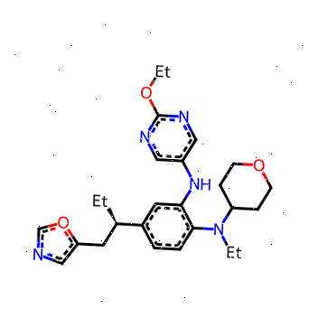 CCOc1ncc(Nc2cc([C@H](CC)Cc3cnco3)ccc2N(CC)C2CCOCC2)cn1